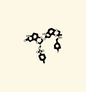 CC1(NCc2ccc(F)cc2)COc2ccc3c(c2O1)CC(=O)N3.Cc1ccc(S(=O)(=O)OC[C@H]2COc3ccc4c(c3O2)CC(=O)N4)cc1